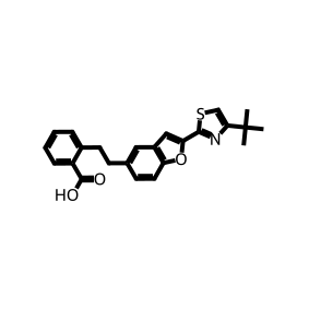 CC(C)(C)c1csc(-c2cc3cc(CCc4ccccc4C(=O)O)ccc3o2)n1